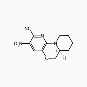 N#Cc1nc2c(cc1[N+](=O)[O-])OC[C@@H]1CCCCN21